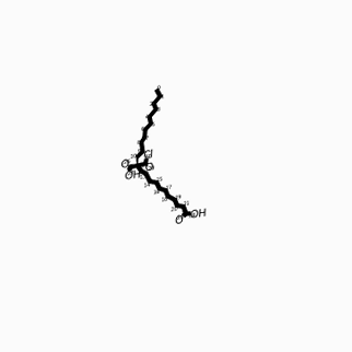 CCCCCCCCCCC[C@@](CCCCCCCCCCC(=O)O)(C(=O)O)C(=O)Cl